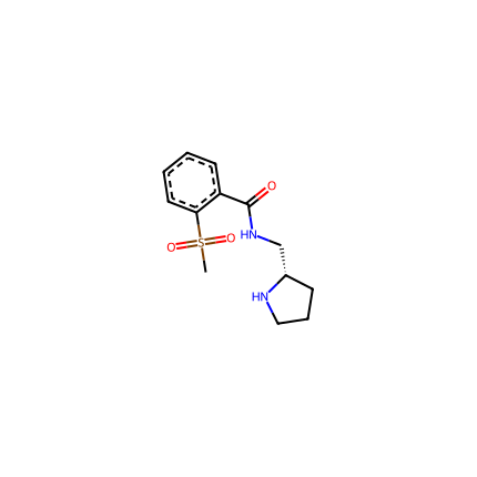 CS(=O)(=O)c1ccccc1C(=O)NC[C@@H]1CCCN1